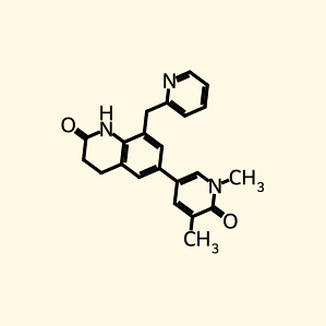 Cc1cc(-c2cc3c(c(Cc4ccccn4)c2)NC(=O)CC3)cn(C)c1=O